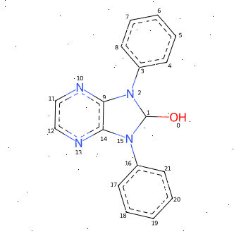 OC1N(c2ccccc2)c2nccnc2N1c1ccccc1